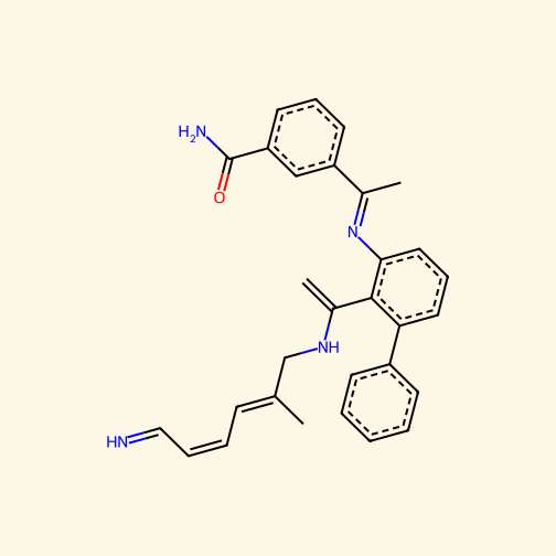 C=C(NC/C(C)=C/C=C\C=N)c1c(/N=C(\C)c2cccc(C(N)=O)c2)cccc1-c1ccccc1